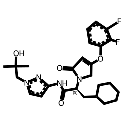 CC(C)(O)Cn1ccc(NC(=O)[C@H](CC2CCCCC2)N2CC(Oc3cccc(F)c3F)=CC2=O)n1